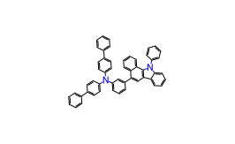 c1ccc(-c2ccc(N(c3ccc(-c4ccccc4)cc3)c3cccc(-c4cc5c6ccccc6n(-c6ccccc6)c5c5ccccc45)c3)cc2)cc1